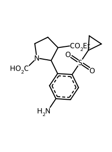 CCOC(=O)C1CCN(C(=O)O)C1c1cc(N)ccc1S(=O)(=O)C1CC1